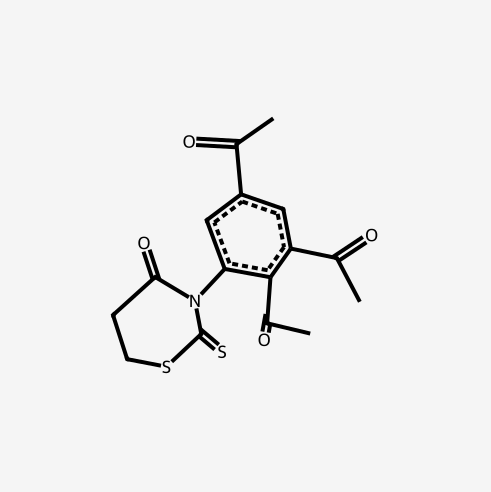 CC(=O)c1cc(C(C)=O)c(C(C)=O)c(N2C(=O)CCSC2=S)c1